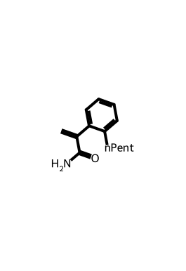 C=C(C(N)=O)c1ccccc1CCCCC